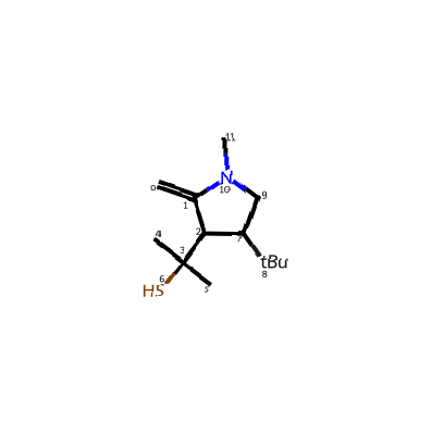 C=C1C(C(C)(C)S)C(C(C)(C)C)CN1C